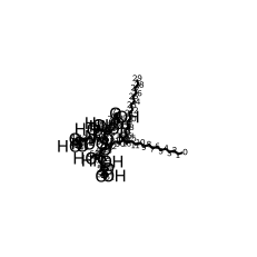 CCCCCCCCCCCCCC[N+](C)(CCCCCCCCCCCCCC)CCC[Si](OCC(CO)(CO)NCCS(=O)(=O)O)(OCC(CO)(CO)NCCS(=O)(=O)O)OCC(CO)(CO)NCCS(=O)(=O)O